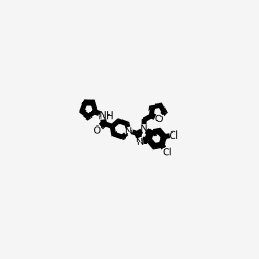 O=C(NC1CCCC1)C1CCN(c2nc3cc(Cl)c(Cl)cc3n2CC2CCCO2)CC1